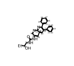 CCC(O)CNC(=O)Nc1cnc2nc(-c3ccccc3)c(-c3ccccc3)cc2c1